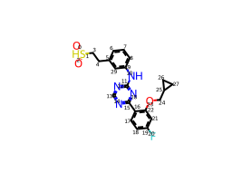 O=[SH](=O)CCc1cccc(Nc2ncnc(-c3ccc(F)cc3OCC3CC3)n2)c1